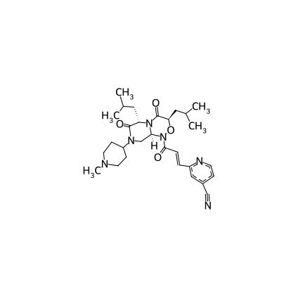 CC(C)C[C@H]1ON(C(=O)/C=C/c2cc(C#N)ccn2)[C@H]2CN(C3CCN(C)CC3)C(=O)[C@H](CC(C)C)N2C1=O